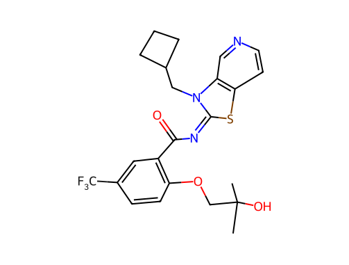 CC(C)(O)COc1ccc(C(F)(F)F)cc1C(=O)N=c1sc2ccncc2n1CC1CCC1